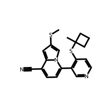 CSc1cc2c(C#N)ccc(-c3cnccc3SC3(C)CCC3)n2c1